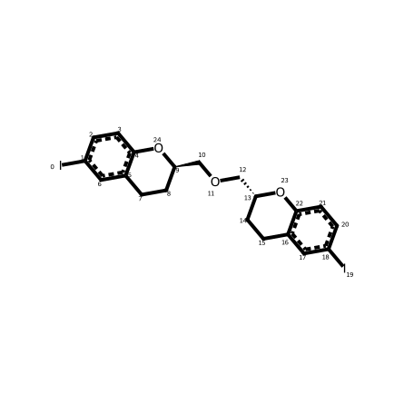 Ic1ccc2c(c1)CC[C@H](COC[C@H]1CCc3cc(I)ccc3O1)O2